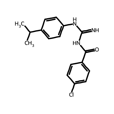 CC(C)c1ccc(NC(=N)NC(=O)c2ccc(Cl)cc2)cc1